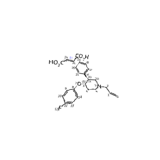 C=CCN1CC[C@H](Oc2ccc(F)cc2)[C@@H](c2ccccc2)C1.O=C(O)/C=C/C(=O)O